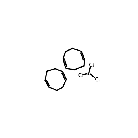 C1=CCCC=CCC1.C1=CCCC=CCC1.[Cl][Ir]([Cl])[Cl]